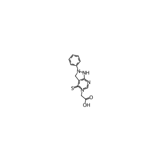 O=C(O)Cn1cnc2c(c1=S)CN(c1ccccc1)N2